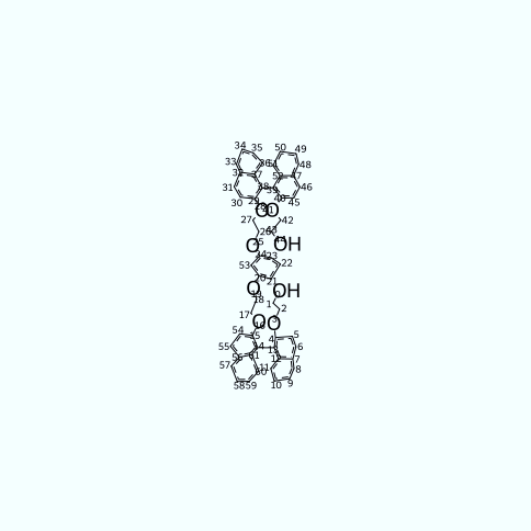 OCCOc1ccc2ccccc2c1-c1c(OCCOc2cccc(OCCOc3ccc4ccccc4c3-c3c(OCCO)ccc4ccccc34)c2)ccc2ccccc12